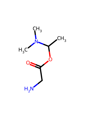 CC(OC(=O)CN)N(C)C